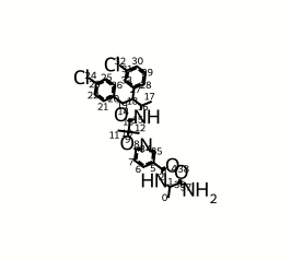 CC(NC(=O)c1ccc(OC(C)(C)C(=O)NC(C)C(Cc2ccc(Cl)cc2)c2cccc(Cl)c2)nc1)C(N)=O